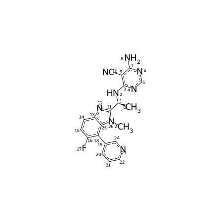 C[C@H](Nc1ncnc(N)c1C#N)c1nc2ccc(F)c(-c3cccnc3)c2n1C